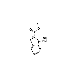 COC(=O)[C@H]1Cc2ccccc2[C@H]1N.Cl